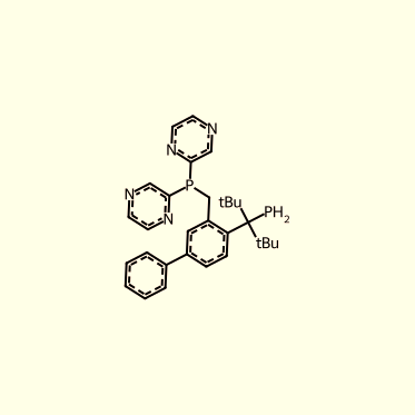 CC(C)(C)C(P)(c1ccc(-c2ccccc2)cc1CP(c1cnccn1)c1cnccn1)C(C)(C)C